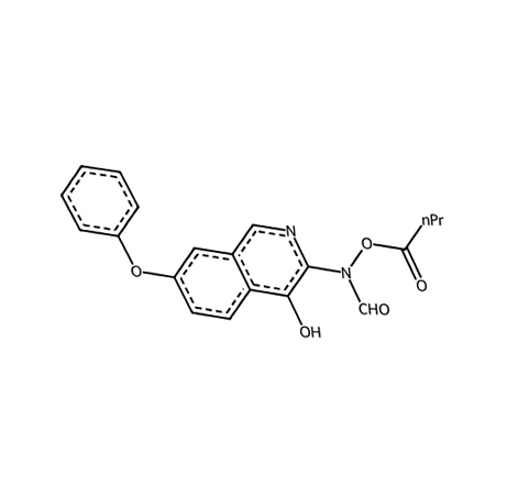 CCCC(=O)ON(C=O)c1ncc2cc(Oc3ccccc3)ccc2c1O